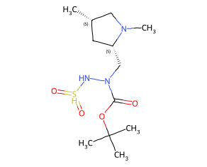 C[C@H]1C[C@@H](CN(N[SH](=O)=O)C(=O)OC(C)(C)C)N(C)C1